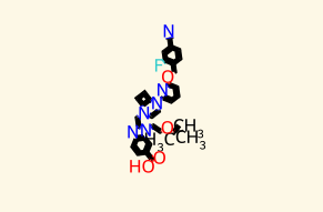 CC(C)(C)OCCn1c(CN2CCN(c3cccc(OCc4ccc(C#N)cc4F)n3)C3CCC32)nc2ccc(C(=O)O)cc21